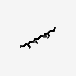 FCCC(F)C[SiH2]CCC[SiH2]CC(F)CCF